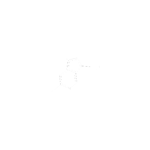 O=C(O)c1cnn2cc(Br)ncc12